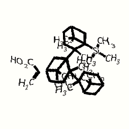 C=CC(=O)O.CC1(C)C2CCC(C)(C3(C)CCC4CC3(C3(C)CCC5CC3([Si](C)(C)C)C5(C)C)C4(C)C)C1C2